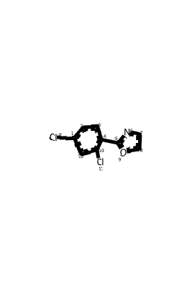 Clc1ccc(-c2nc[c]o2)c(Cl)c1